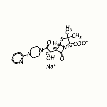 CC1(C)S[C@@H]2[C@H]([C@H](O)C(=O)N3CCN(c4ccccn4)CC3)C(=O)N2[C@H]1C(=O)[O-].[Na+]